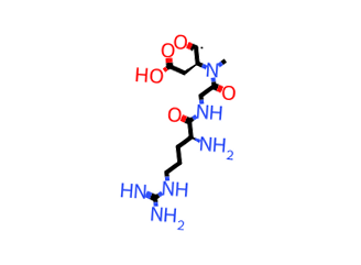 CN(C(=O)CNC(=O)[C@@H](N)CCCNC(=N)N)[C@H]([C]=O)CC(=O)O